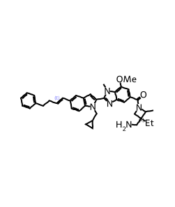 CC[C@@]1(CN)CN(C(=O)c2cc(OC)c3c(c2)nc(-c2cc4cc(/C=C/CCc5ccccc5)ccc4n2CC2CC2)n3C)C1C